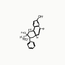 CC[C@@]12C[C@@](C)(O)[C@](O)(c3ccccc3)C[C@H]1C=C(F)c1cc(O)ccc12